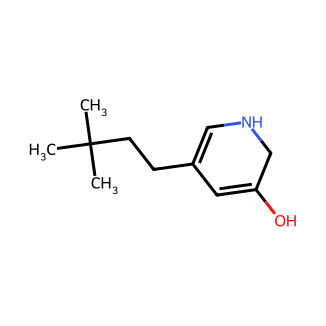 CC(C)(C)CCC1=CNCC(O)=C1